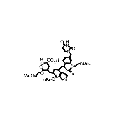 CCCCCCCCCCCCSC(=S)SC(CC(CC(CC(CC(C)C(=O)O)C(=O)OCCOC)C(=O)OCCCC)c1ccncc1)c1ccc(Cn2ccc(=O)[nH]c2=O)cc1